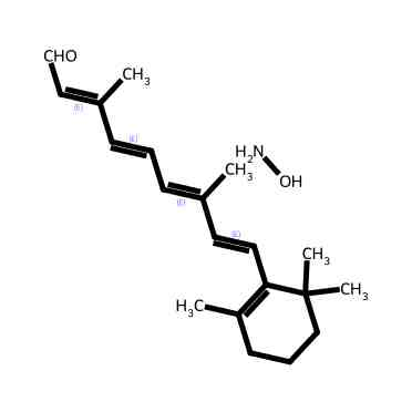 CC1=C(/C=C/C(C)=C/C=C/C(C)=C/C=O)C(C)(C)CCC1.NO